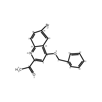 CC(=O)c1cc(OCc2ccccc2)c2cc(Br)ccc2n1